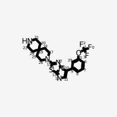 FC(F)(F)Oc1cccc(-c2cnc3sc(N4CCC5(CCNCC5)CC4)nn23)c1